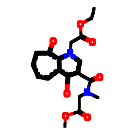 CCOC(=O)Cn1cc(C(=O)N(C)CC(=O)OC)c(=O)c2ccccc(=O)c21